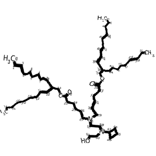 CCCCCCCCCC(CCCCCCCCC)COC(=O)CCCCCN(CCCCCC(=O)OCC(CCCCCCCCC)CCCCCCCCC)CCN(CCO)C1CCC1